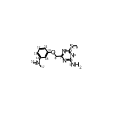 CSc1nc(N)nc(COc2cccc(N(C)C)c2)n1